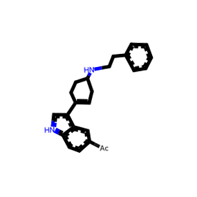 CC(=O)c1ccc2[nH]cc(C3=CCC(NCCc4ccccc4)CC3)c2c1